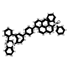 O=P(c1ccccc1)(c1ccccc1)c1ccc2ccc3c(-c4ccc(C5=CC6=C=C(C=C5)N5CC(=Nc7ccccc75)c5ccccc56)cc4)ccc4ccc1c2c43